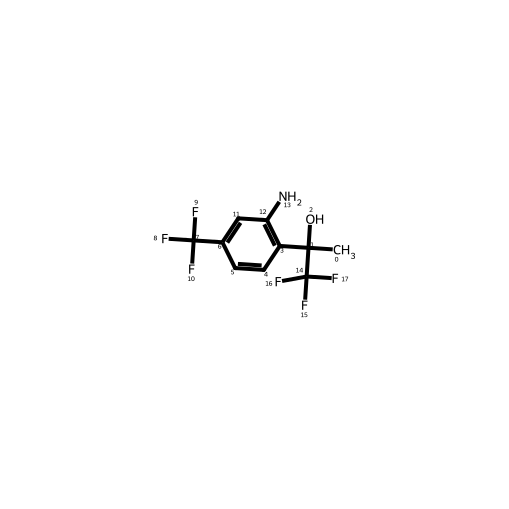 CC(O)(c1ccc(C(F)(F)F)cc1N)C(F)(F)F